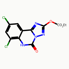 CCOC(=O)Oc1nc2c3cc(Cl)cc(Cl)c3[nH]c(=O)n2n1